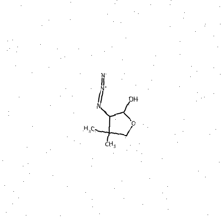 CC1(C)COC(O)C1N=[N+]=[N-]